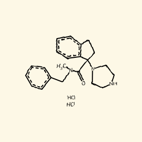 CN(Cc1ccccc1)C(=O)C1(N2CCNCC2)CCc2ccccc21.Cl.Cl